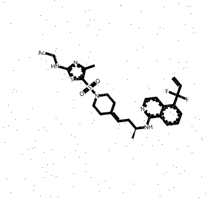 C=CC(F)(F)c1cccc2c(N[C@@H](C)CC=C3CCN(S(=O)(=O)c4sc(NCC(C)=O)nc4C)CC3)nccc12